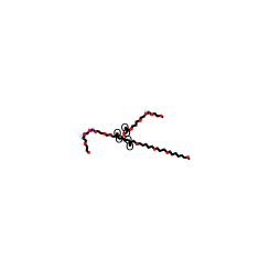 CCCCC/C=C\C/C=C\CCCCCCCC(=O)O[C@H](COC(=O)CCCCCCC/C=C\CCCCC)COC(=O)CCCCCCCCCCCCCCCCCCCC